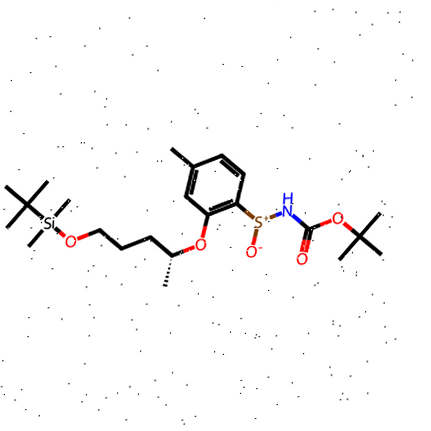 Cc1ccc([S+]([O-])NC(=O)OC(C)(C)C)c(O[C@H](C)CCCO[Si](C)(C)C(C)(C)C)c1